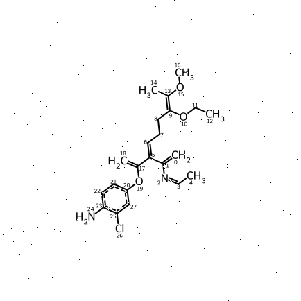 C=C(/N=C\C)C(=CCC/C(OCC)=C(\C)OC)C(=C)Oc1ccc(N)c(Cl)c1